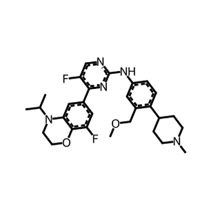 COCc1cc(Nc2ncc(F)c(-c3cc(F)c4c(c3)N(C(C)C)CCO4)n2)ccc1C1CCN(C)CC1